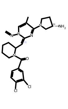 C=NN1C=C(C)C(N2CC[C@H](N)C2)=N/C1=C/C1CCCCN1C(=O)c1ccc(Cl)c(Cl)c1